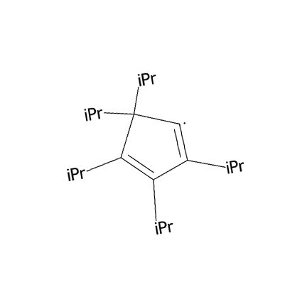 CC(C)C1=[C]C(C(C)C)(C(C)C)C(C(C)C)=C1C(C)C